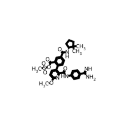 COc1ccc(-c2ccc(C(=O)N[C@@H]3CCCC3(C)C)cc2C(=O)OS(C)(=O)=O)c(C(=O)Nc2ccc(C(=N)N)cc2)n1